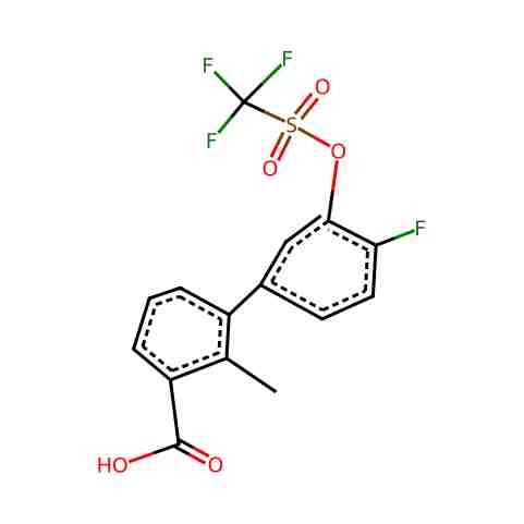 Cc1c(C(=O)O)cccc1-c1ccc(F)c(OS(=O)(=O)C(F)(F)F)c1